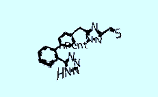 CCCCCn1nc(C=S)nc1Cc1ccc(-c2ccccc2-c2nnn[nH]2)cc1